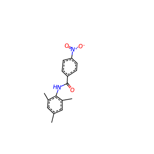 Cc1cc(C)c(NC(=O)c2ccc([N+](=O)[O-])cc2)c(C)c1